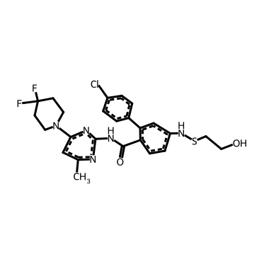 Cc1cc(N2CCC(F)(F)CC2)nc(NC(=O)c2ccc(NSCCO)cc2-c2ccc(Cl)cc2)n1